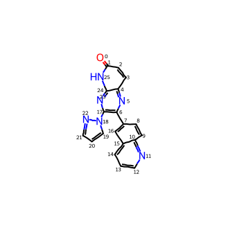 O=c1ccc2nc(-c3ccc4ncccc4c3)c(-n3cccn3)nc2[nH]1